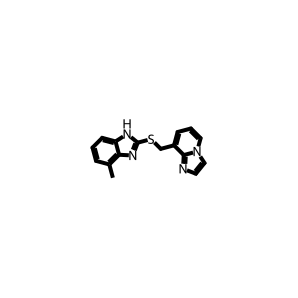 Cc1cccc2[nH]c(SCc3cccn4ccnc34)nc12